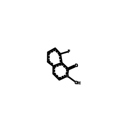 O=c1c2c(F)cccc2ccn1O